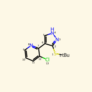 CC(C)(C)Sc1n[nH][c]c1-c1ncccc1Cl